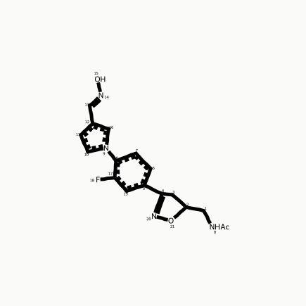 CC(=O)NCC1CC(c2ccc(-n3ccc(C=NO)c3)c(F)c2)=NO1